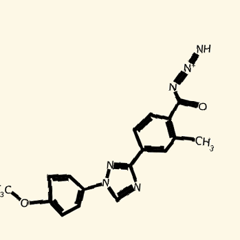 Cc1cc(-c2ncn(-c3ccc(OC(F)(F)F)cc3)n2)ccc1C(=O)N=[N+]=N